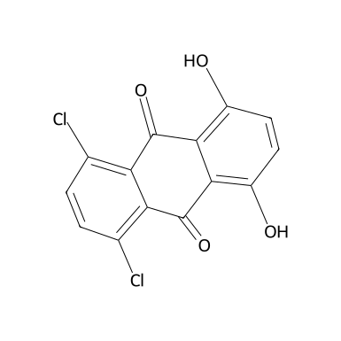 O=C1c2c(O)ccc(O)c2C(=O)c2c(Cl)ccc(Cl)c21